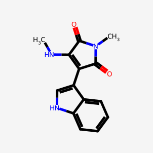 CNC1=C(c2c[nH]c3ccccc23)C(=O)N(C)C1=O